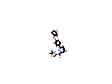 CC1(C)OC[C@H](C(=O)c2cccc(-c3ccc(Oc4ccc(F)cc4)cc3)n2)O1